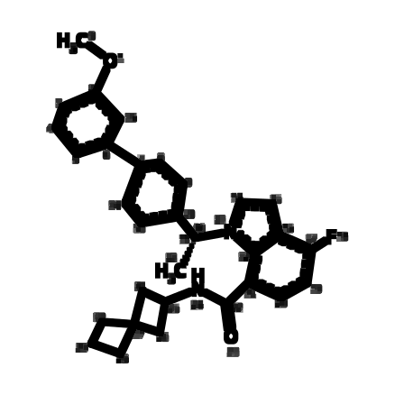 COc1cccc(-c2ccc([C@@H](C)n3ccc4c(F)ccc(C(=O)NC5CC6(CCC6)C5)c43)cc2)c1